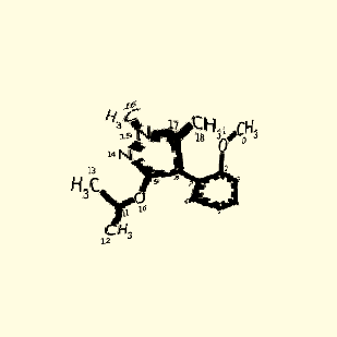 COc1ccccc1-c1c(OC(C)C)nn(C)c1C